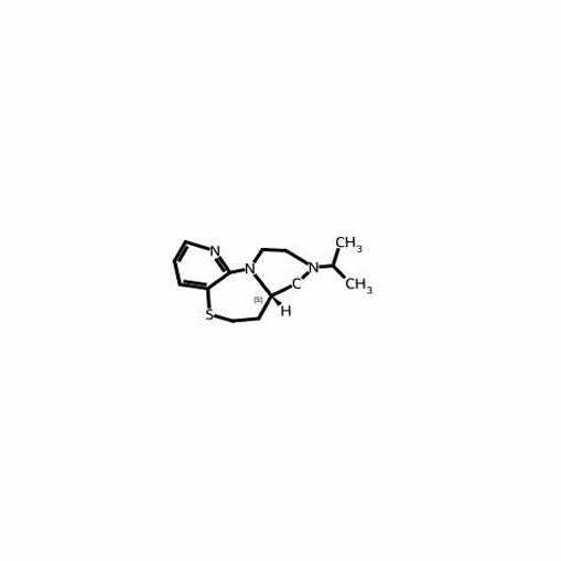 CC(C)N1CCN2c3ncccc3SCC[C@H]2C1